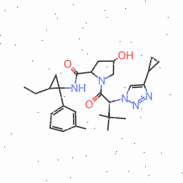 CCC1CC1(NC(=O)C1CC(O)CN1C(=O)[C@@H](n1cc(C2CC2)nn1)C(C)(C)C)c1cccc(C)c1